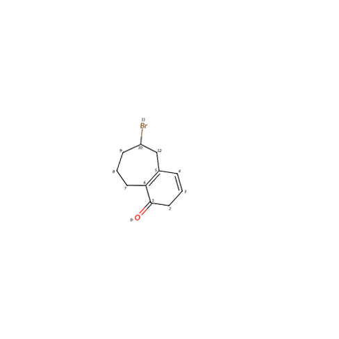 O=C1CC=CC2=C1CCCC(Br)C2